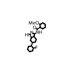 COc1ccccc1C(=O)Nc1n[nH]c2cc(-c3ccccc3F)ccc12